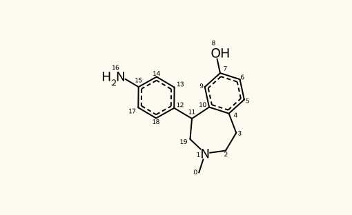 CN1CCc2ccc(O)cc2C(c2ccc(N)cc2)C1